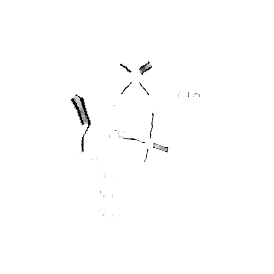 C=CO.O=P([O-])([O-])OP(=O)([O-])[O-].[Na+].[Na+].[Na+].[Na+]